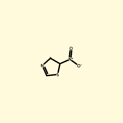 O=[N+]([O-])C1[C]N=CS1